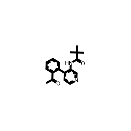 CC(=O)c1ccccc1-c1ccncc1NC(=O)C(C)(C)C